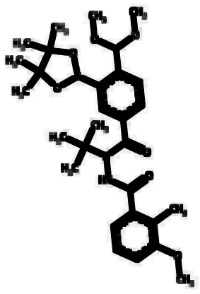 COc1cccc(C(=O)NN(C(=O)c2ccc(C(OC)OC)c(B3OC(C)(C)C(C)(C)O3)c2)C(C)(C)C)c1C